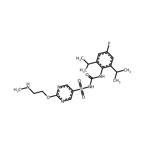 CNCCOc1ncc(S(=O)(=O)NC(=O)Nc2c(C(C)C)cc(F)cc2C(C)C)cn1